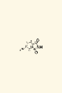 C#CC1CCC2C(=O)NC(=O)C2C1